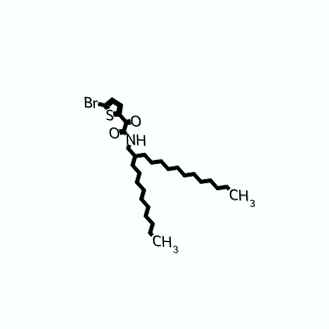 CCCCCCCCCCCCC(CCCCCCCCCC)CNC(=O)C(=O)c1ccc(Br)s1